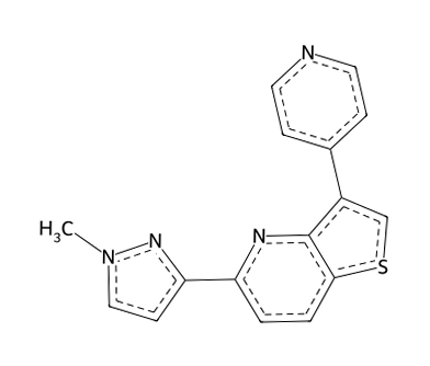 Cn1ccc(-c2ccc3scc(-c4ccncc4)c3n2)n1